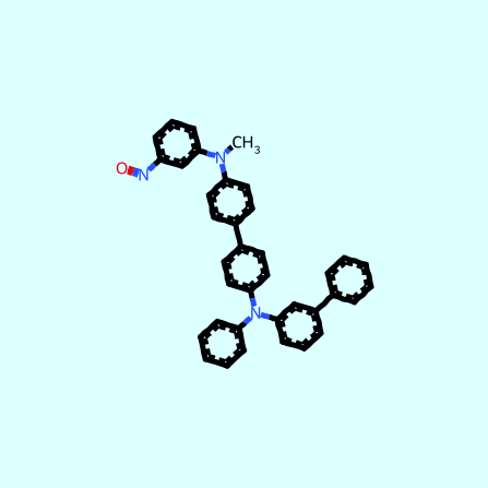 CN(c1ccc(-c2ccc(N(c3ccccc3)c3cccc(-c4ccccc4)c3)cc2)cc1)c1cccc(N=O)c1